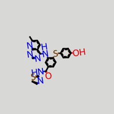 Cc1ccc2c(Nc3cc(C(=O)Nc4nccs4)ccc3Sc3ccc(O)cc3)ncnc2n1